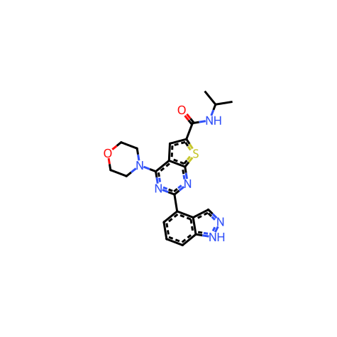 CC(C)NC(=O)c1cc2c(N3CCOCC3)nc(-c3cccc4[nH]ncc34)nc2s1